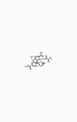 CCOC(=O)/C=C/[C@H](C[C@@H]1CCNOC1)NC(=O)[C@H](CC(C)C)NC(=O)[C@H](CCCNC(=O)OC)NC(=O)OC